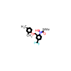 CNC(=O)N(O)c1ccc(C(F)F)cc1COc1ccc(C)cc1C